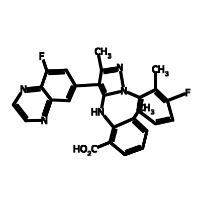 Cc1cccc(C(=O)O)c1Nc1c(-c2cc(F)c3nccnc3c2)c(C)nn1-c1cccc(F)c1C